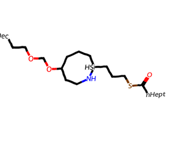 CCCCCCCCCCCCOCOC1CCC[SiH](CCCSC(=O)CCCCCCC)NCC1